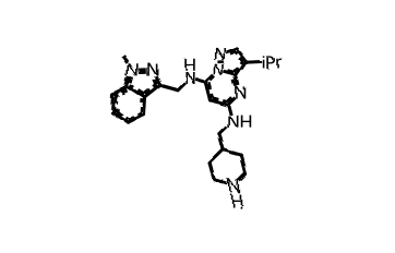 CC(C)c1cnn2c(NCc3nn(C)c4ccccc34)cc(NCC3CCNCC3)nc12